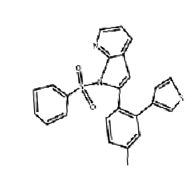 Cc1ccc(-c2cc3cccnc3n2S(=O)(=O)c2ccccc2)c(-c2ccsc2)c1